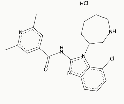 Cc1cc(C(=O)Nc2nc3cccc(Cl)c3n2C2CCCCNC2)cc(C)n1.Cl